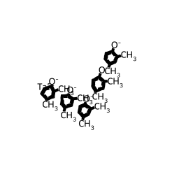 Cc1ccc([O-])c(C)c1.Cc1ccc([O-])c(C)c1.Cc1ccc([O-])c(C)c1.Cc1ccc([O-])c(C)c1.Cc1ccc([O-])c(C)c1.[Ta+5]